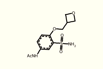 CC(=O)Nc1ccc(OCC2COC2)c(S(N)(=O)=O)c1